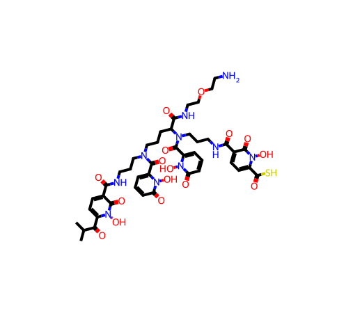 CC(C)C(=O)c1ccc(C(=O)NCCCN(CCCC(C(=O)NCCOCCN)N(CCCNC(=O)c2ccc(C(=O)S)n(O)c2=O)C(=O)c2cccc(=O)n2O)C(=O)c2cccc(=O)n2O)c(=O)n1O